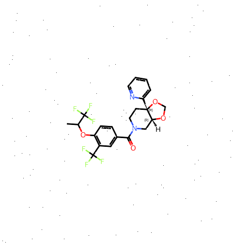 CC(Oc1ccc(C(=O)N2CC[C@]3(c4ccccn4)OCO[C@@H]3C2)cc1C(F)(F)F)C(F)(F)F